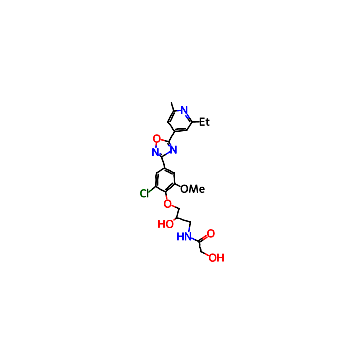 CCc1cc(-c2nc(-c3cc(Cl)c(OCC(O)CNC(=O)CO)c(OC)c3)no2)cc(C)n1